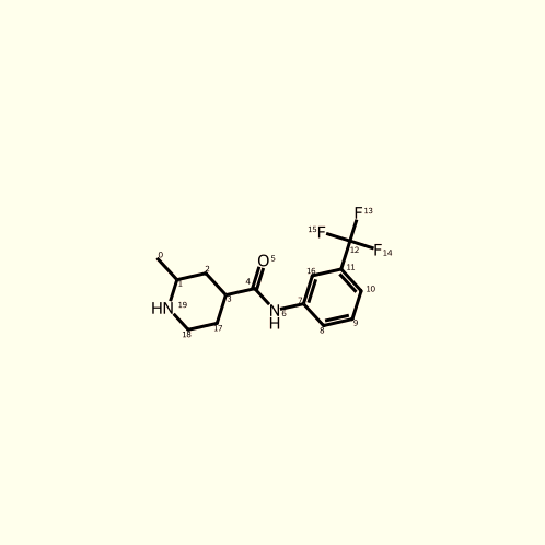 CC1CC(C(=O)Nc2cccc(C(F)(F)F)c2)CCN1